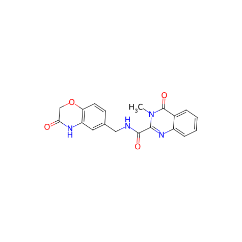 Cn1c(C(=O)NCc2ccc3c(c2)NC(=O)CO3)nc2ccccc2c1=O